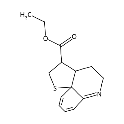 CCOC(=O)C1CSC23C=CC=CC2=NCCC13